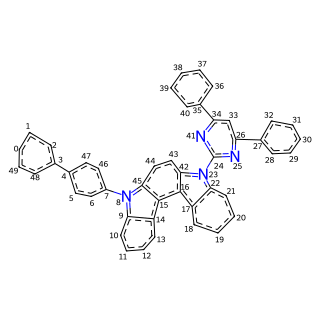 c1ccc(-c2ccc(-n3c4ccccc4c4c5c6ccccc6n(-c6nc(-c7ccccc7)cc(-c7ccccc7)n6)c5ccc43)cc2)cc1